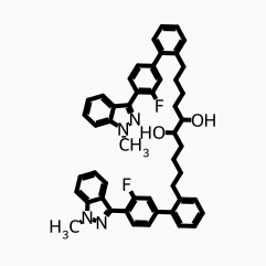 Cn1nc(-c2ccc(-c3ccccc3CCCCC(O)C(O)CCCCc3ccccc3-c3ccc(-c4nn(C)c5ccccc45)c(F)c3)cc2F)c2ccccc21